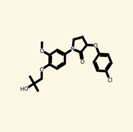 COc1cc(N2CCC(Oc3ccc(Cl)cc3)C2=O)ccc1OCC(C)(C)O